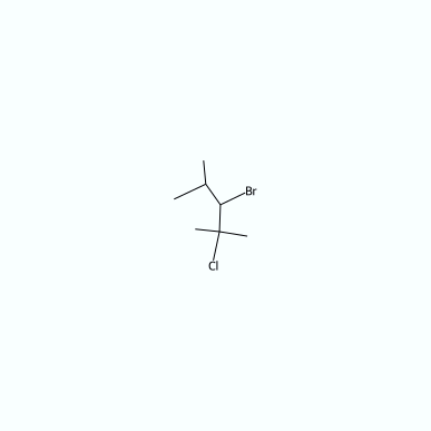 CC(C)C(Br)C(C)(C)Cl